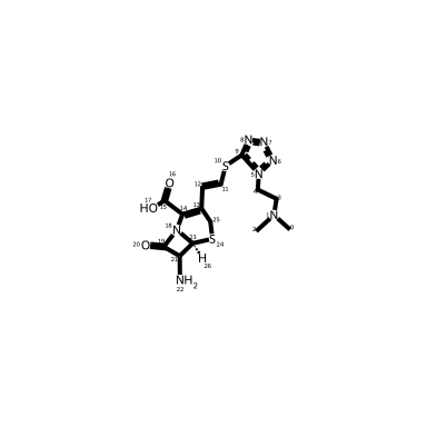 CN(C)CCn1nnnc1SC=CC1=C(C(=O)O)N2C(=O)C(N)[C@@H]2SC1